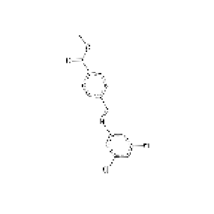 COC(=O)c1ccc(/C=N/c2cc(Cl)cc(Cl)c2)cc1